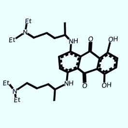 CCN(CC)CCCC(C)Nc1ccc(NC(C)CCCN(CC)CC)c2c1C(=O)c1c(O)ccc(O)c1C2=O